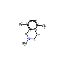 CC(C)c1ccc(C#N)c2c1CN(C(C)(C)C)CC2